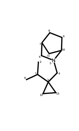 CC(C)C1(CN2CC3CCC2C3)CC1